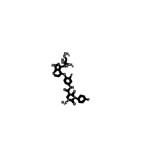 COCC(C)(C)Nc1n[nH]c2nccc(Oc3ccc(NC(=O)c4cn(C)c(=O)n(-c5ccc(F)cc5)c4=O)cc3F)c12